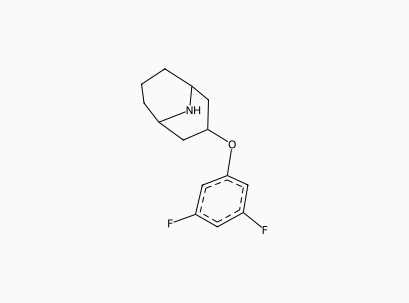 Fc1cc(F)cc(OC2CC3CCCC(C2)N3)c1